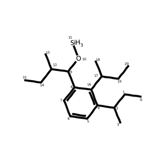 CCC(C)c1cccc(C(O[SiH3])C(C)CC)c1C(C)CC